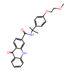 COCCOc1ccc(C(C)(C)NC(=O)c2ccc3c(=O)c4ccccc4[nH]c3c2)cc1